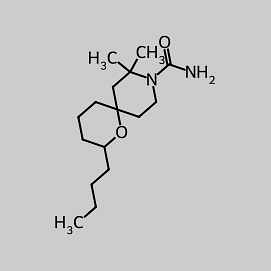 CCCCC1CCCC2(CCN(C(N)=O)C(C)(C)C2)O1